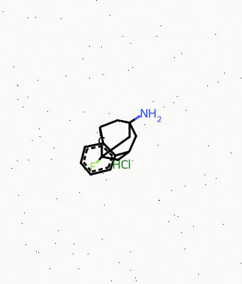 Cl.NC12CC3CC(F)(CC(C1)c1ccccc13)C2